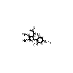 CCSc1c(C#N)nn(-c2c(Cl)cc(C(F)(F)F)cc2Cl)c1N=S(C)C